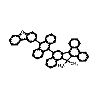 CC1(C)c2c(cc(-c3c4ccccc4c(-c4ccc5oc6ccccc6c5c4)c4ccccc34)c3ccccc23)-c2c1c1ccccc1c1ccccc21